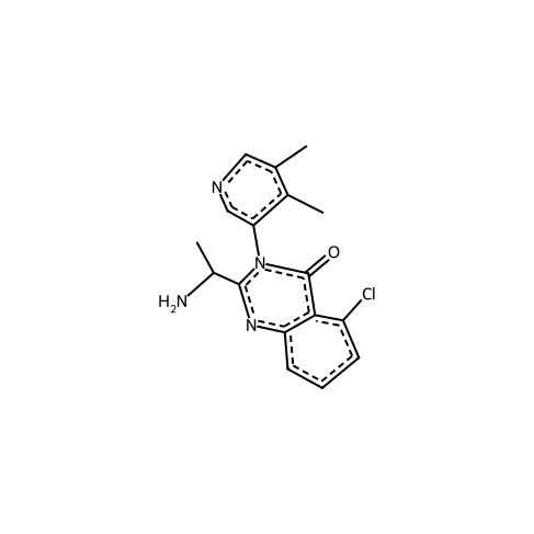 Cc1cncc(-n2c(C(C)N)nc3cccc(Cl)c3c2=O)c1C